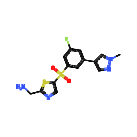 Cn1cc(-c2cc(F)cc(S(=O)(=O)c3cnc(CN)s3)c2)cn1